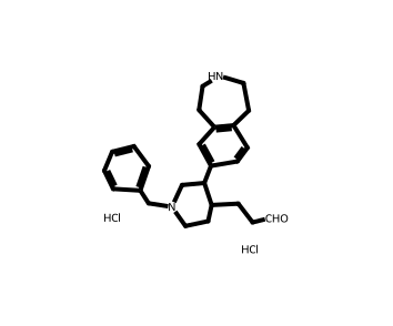 Cl.Cl.O=CCCC1CCN(Cc2ccccc2)CC1c1ccc2c(c1)CCNCC2